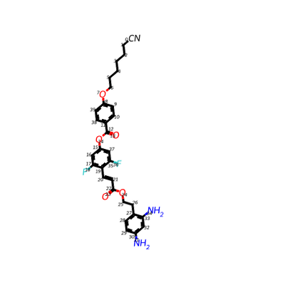 N#CCCCCCCOc1ccc(C(=O)Oc2cc(F)c(/C=C/C(=O)OCCc3ccc(N)cc3N)c(F)c2)cc1